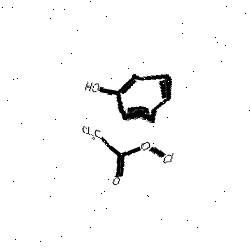 O=C(OCl)C(Cl)(Cl)Cl.Oc1ccccc1